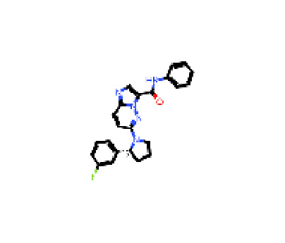 O=C(Nc1ccccc1)c1cnc2ccc(N3CCC[C@@H]3c3cccc(F)c3)nn12